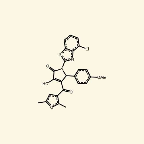 COc1ccc(C2C(C(=O)c3cc(C)oc3C)=C(O)C(=O)N2c2nc3c(Cl)cccc3s2)cc1